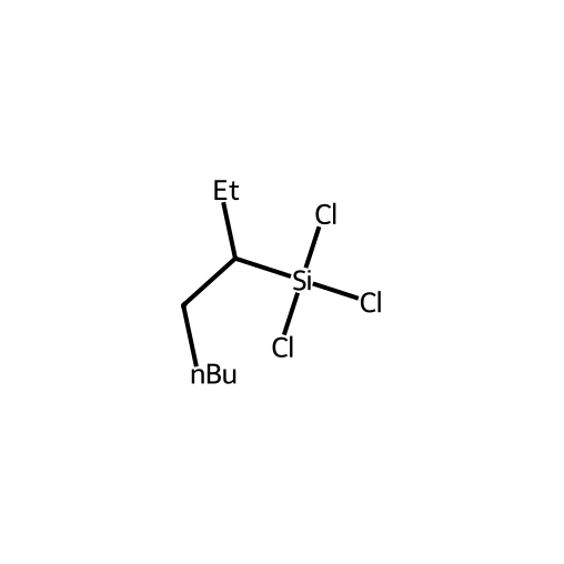 CCCCCC(CC)[Si](Cl)(Cl)Cl